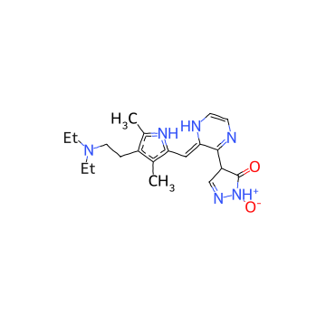 CCN(CC)CCc1c(C)[nH]c(C=C2NC=CN=C2C2C=N[NH+]([O-])C2=O)c1C